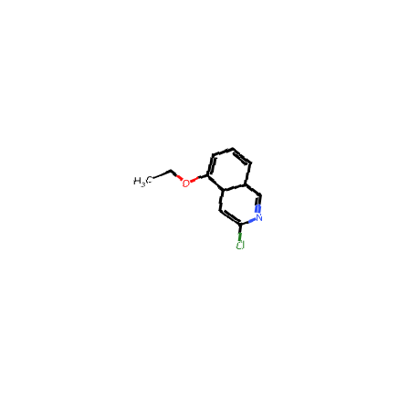 CCOC1=CC=CC2C=NC(Cl)=CC12